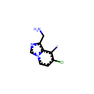 NCc1ncn2ccc(Cl)c(I)c12